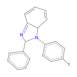 Ic1ccc(N2C3C=CC=CC3=NC2c2ccccc2)cc1